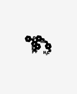 COc1ccc(CNCc2cccc(-c3c(C(=O)c4ccccc4)cnc4c(C(F)(F)F)cccc34)c2)cc1